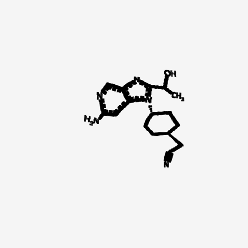 CC(O)c1nc2cnc(N)cc2n1[C@H]1CC[C@H](CC#N)CC1